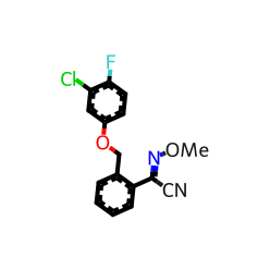 CON=C(C#N)c1ccccc1COc1ccc(F)c(Cl)c1